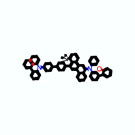 C[Si]1(C)c2cc(-c3ccc(N(c4ccccc4)c4ccccc4-c4ccccc4)cc3)ccc2-c2cc3c4ccccc4c(N(c4ccccc4)c4cccc5c4oc4ccccc45)cc3c3cccc1c23